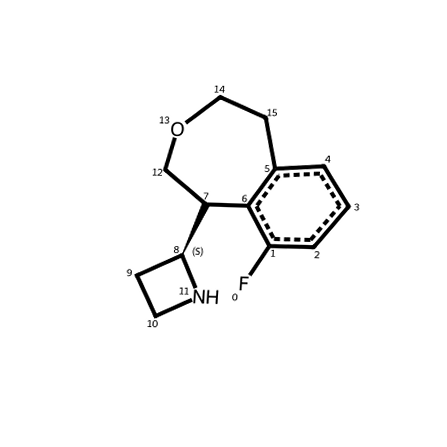 Fc1cccc2c1C([C@@H]1CCN1)COCC2